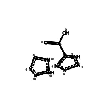 O=C(O)c1nnn[nH]1.c1nn[nH]n1